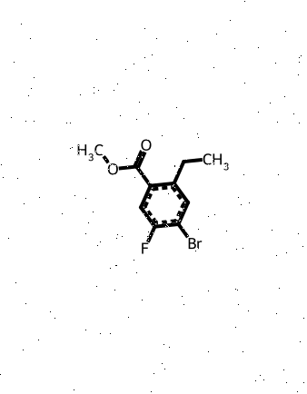 CCc1cc(Br)c(F)cc1C(=O)OC